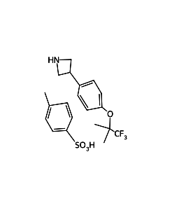 CC(C)(Oc1ccc(C2CNC2)cc1)C(F)(F)F.Cc1ccc(S(=O)(=O)O)cc1